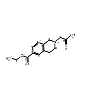 CCOC(=O)c1cnc2c(c1)CCN(CC(=O)O)C2